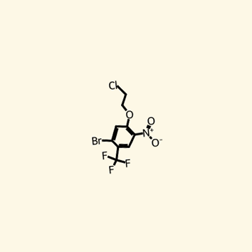 O=[N+]([O-])c1cc(C(F)(F)F)c(Br)cc1OCCCl